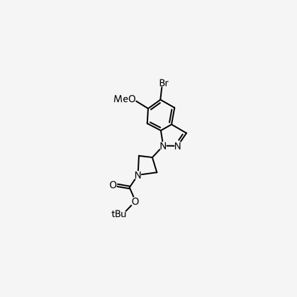 COc1cc2c(cnn2C2CN(C(=O)OC(C)(C)C)C2)cc1Br